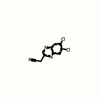 N#CCc1cnc2cc(Cl)c(Cl)cc2n1